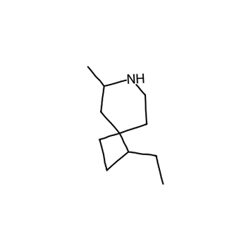 CCC1CCC12CCNC(C)C2